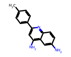 Cc1ccc(-c2cc(N)c3cc(N)ccc3n2)cc1